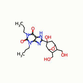 CCCn1c(=O)c2[nH]c(C3(O)CC4OC(C3)C(CO)C4CO)nc2n(CCC)c1=O